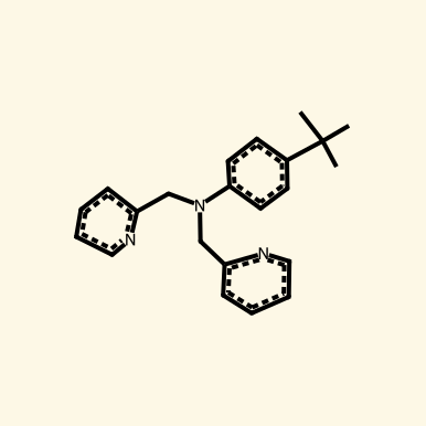 CC(C)(C)c1ccc(N(Cc2ccccn2)Cc2ccccn2)cc1